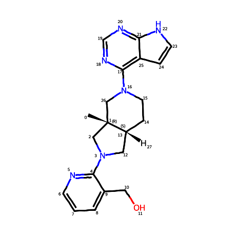 C[C@]12CN(c3ncccc3CO)C[C@H]1CCN(c1ncnc3[nH]ccc13)C2